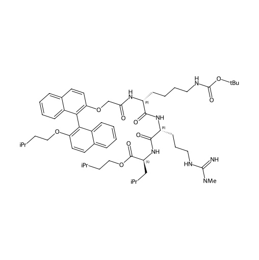 CNC(=N)NCCC[C@@H](NC(=O)[C@@H](CCCCNC(=O)OC(C)(C)C)NC(=O)COc1ccc2ccccc2c1-c1c(OCCC(C)C)ccc2ccccc12)C(=O)N[C@@H](CC(C)C)C(=O)OCCC(C)C